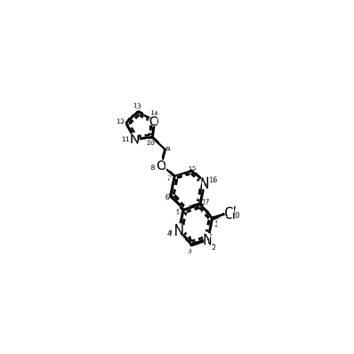 Clc1ncnc2cc(OCc3ncco3)cnc12